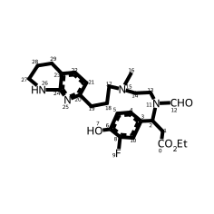 CCOC(=O)CC(c1ccc(O)c(F)c1)N(C=O)CCN(C)CCCc1ccc2c(n1)NCCC2